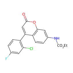 CCOC(=O)Nc1ccc2c(-c3ccc(F)cc3Cl)cc(=O)oc2c1